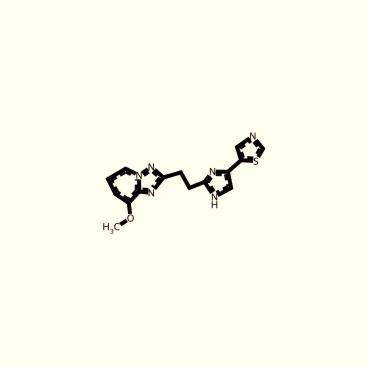 COc1cccn2nc(CCc3nc(-c4cncs4)c[nH]3)nc12